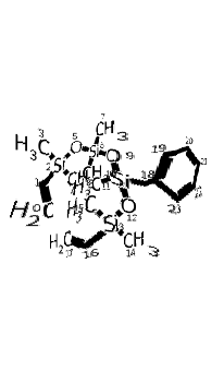 C=C[Si](C)(C)O[Si](C)(C)O[Si](C)(O[Si](C)(C)C=C)c1ccccc1